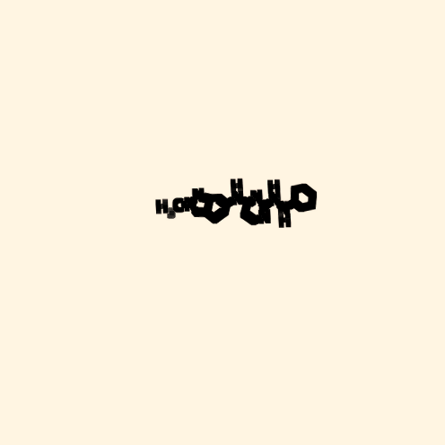 Cn1cc2ccc(Nc3ccnc(NNC4CCCCC4)n3)cc2n1